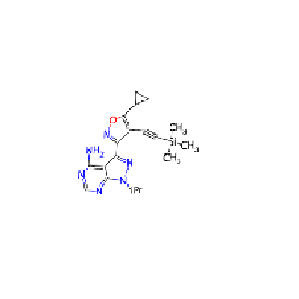 CC(C)n1nc(-c2noc(C3CC3)c2C#C[Si](C)(C)C)c2c(N)ncnc21